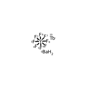 [BaH2].[F][Y]([F])([F])([F])([F])([F])([F])[F].[Tb]